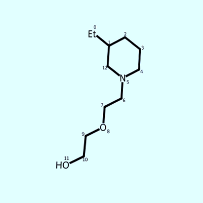 CCC1CCCN(CCOCCO)C1